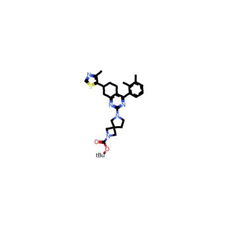 Cc1cccc(-c2nc(N3CCC4(CN(C(=O)OC(C)(C)C)C4)C3)nc3c2CCC(c2scnc2C)C3)c1C